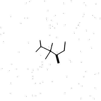 C=C(CC)C(C)(C)C(C)O